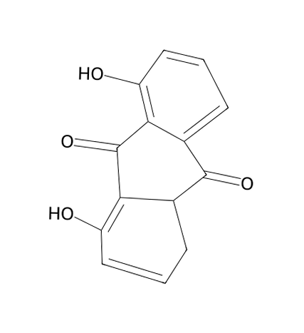 O=C1C2=C(O)C=CCC2C(=O)c2cccc(O)c21